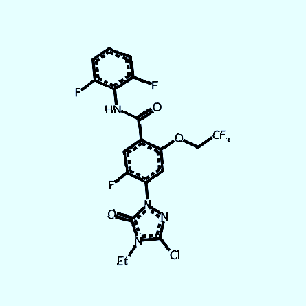 CCn1c(Cl)nn(-c2cc(OCC(F)(F)F)c(C(=O)Nc3c(F)cccc3F)cc2F)c1=O